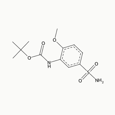 COc1ccc(S(N)(=O)=O)cc1NC(=O)OC(C)(C)C